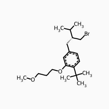 COCCCOc1cc(C[C@@H](CBr)C(C)C)ccc1C(C)(C)C